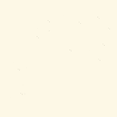 Cc1nc(Nc2ncc(C(=O)Nc3c(C)cccc3Cl)s2)cc(N2CCC(CN3CC4CC3CN4c3ccc4c(c3)C(=O)N(C3CCC(=O)NC3=O)C4=O)CC2)n1